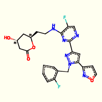 O=C1C[C@H](O)C[C@@H](CCNc2nc(-c3cc(-c4ccon4)n(Cc4ccccc4F)n3)ncc2F)O1